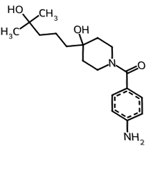 CC(C)(O)CCCC1(O)CCN(C(=O)c2ccc(N)cc2)CC1